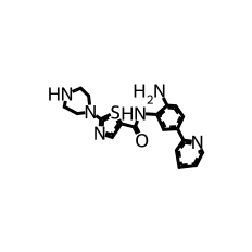 Nc1ccc(-c2ccccn2)cc1NC(=O)c1cnc(N2CCNCC2)s1